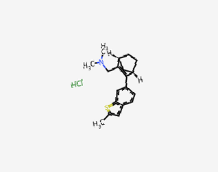 Cc1cc2ccc(C3=C(CN(C)C)[C@@H]4CC[C@H]3C4)cc2s1.Cl